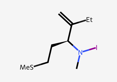 C=C(CC)[C@H](CCSC)N(C)I